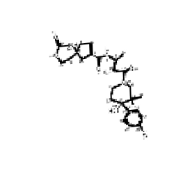 CC(NC(=O)[C@@H]1CCC2(CCOC(=O)N2)C1)[C@@H](C)C(=O)N1CC[C@](O)(c2ccc(Cl)cc2)C(C)(C)C1